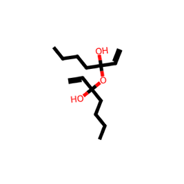 C=CC(O)(CCCC)OC(O)(C=C)CCCC